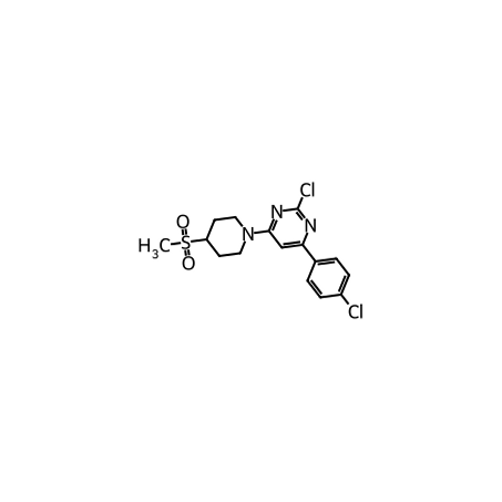 CS(=O)(=O)C1CCN(c2cc(-c3ccc(Cl)cc3)nc(Cl)n2)CC1